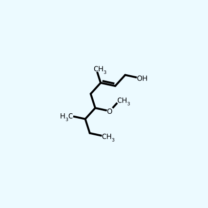 CCC(C)C(CC(C)=CCO)OC